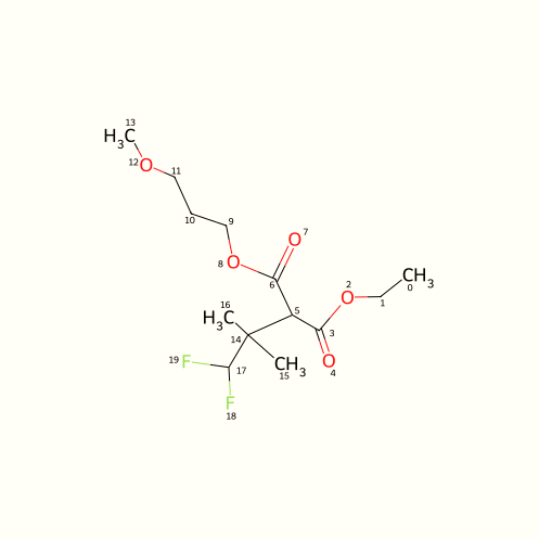 CCOC(=O)C(C(=O)OCCCOC)C(C)(C)C(F)F